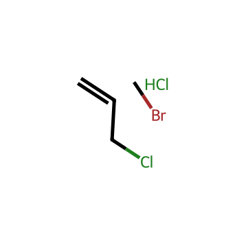 C=CCCl.CBr.Cl